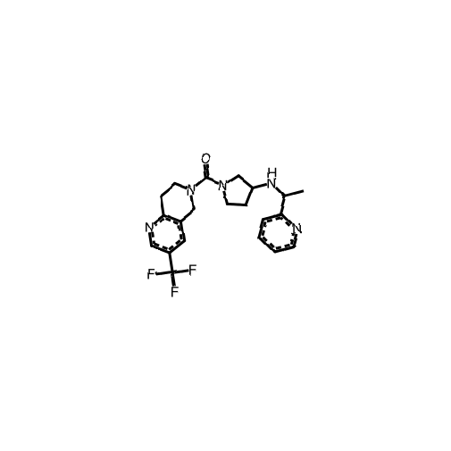 CC(NC1CCN(C(=O)N2CCc3ncc(C(F)(F)F)cc3C2)C1)c1ccccn1